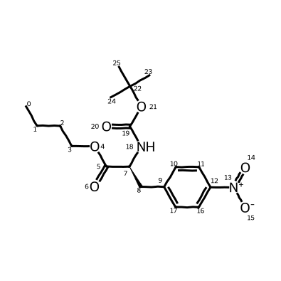 CCCCOC(=O)[C@H](Cc1ccc([N+](=O)[O-])cc1)NC(=O)OC(C)(C)C